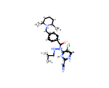 CC(C)CNN(C(=O)c1ccc(CN2C(C)CCCC2C)cc1)c1nc(C#N)ncc1Cl